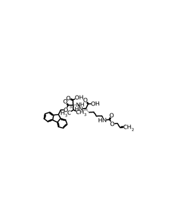 C=CCOC(=O)NCCCC[C@H](NN[C@@](C(=O)O)(C(=O)OCC1c2ccccc2-c2ccccc21)C(C)C)C(=O)O